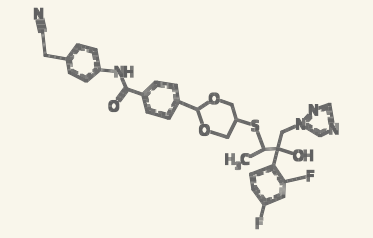 CC(SC1COC(c2ccc(C(=O)Nc3ccc(CC#N)cc3)cc2)OC1)C(O)(Cn1cncn1)c1ccc(F)cc1F